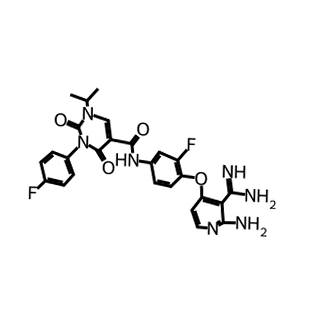 CC(C)n1cc(C(=O)Nc2ccc(Oc3ccnc(N)c3C(=N)N)c(F)c2)c(=O)n(-c2ccc(F)cc2)c1=O